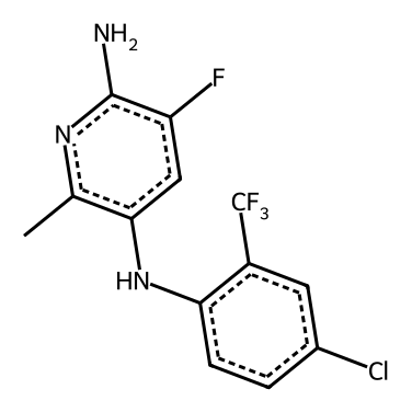 Cc1nc(N)c(F)cc1Nc1ccc(Cl)cc1C(F)(F)F